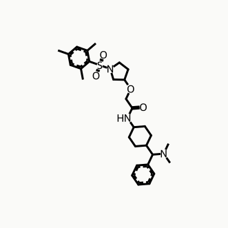 Cc1cc(C)c(S(=O)(=O)N2CCC(OCC(=O)NC3CCC(C(c4ccccc4)N(C)C)CC3)C2)c(C)c1